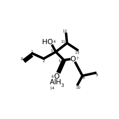 C=CCC(O)(C(=O)OC(C)C)C(C)C.[AlH3]